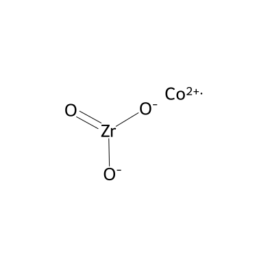 [Co+2].[O]=[Zr]([O-])[O-]